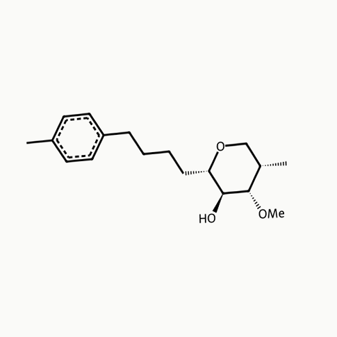 CO[C@@H]1[C@@H](O)[C@H](CCCCc2ccc(C)cc2)OC[C@@H]1C